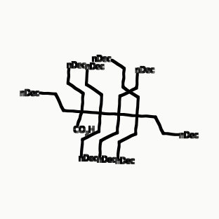 CCCCCCCCCCCCCC(CCCCCCCCCCCC)(CCCCCCCCCCCC)C(CCCCCCCCCCCC)(CCCCCCCCCCCC)C(CCCCCCCCCCCC)(CCCCCCCCCCCC)C(CCCCCCCCCCCC)(CCCCCCCCCCCC)C(=O)O